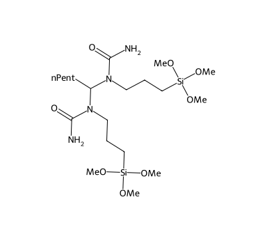 CCCCCC(N(CCC[Si](OC)(OC)OC)C(N)=O)N(CCC[Si](OC)(OC)OC)C(N)=O